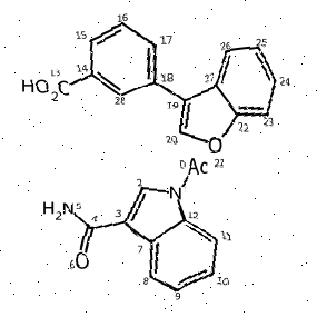 CC(=O)n1cc(C(N)=O)c2ccccc21.O=C(O)c1cccc(-c2coc3ccccc23)c1